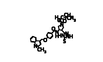 Cc1cc(COc2ccc(C(=O)NC3CN(C(=O)OC(C)(C)C)CC3c3n[nH]c(=S)[nH]3)cc2)c2ccccc2n1